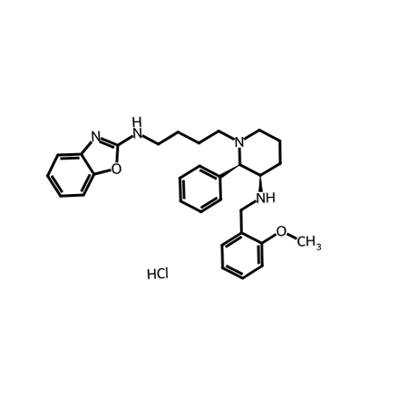 COc1ccccc1CN[C@@H]1CCCN(CCCCNc2nc3ccccc3o2)[C@@H]1c1ccccc1.Cl